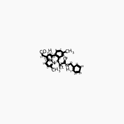 CCN(Cc1cc(C)ccc1-c1cc(CC(=O)O)c2ccc(C)nn12)C(=O)NCc1ccccc1